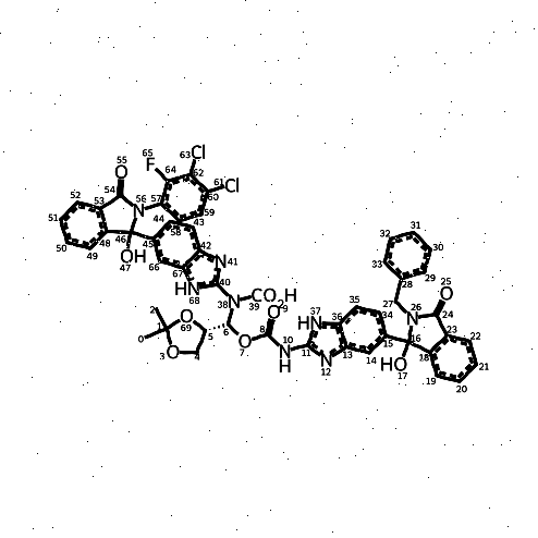 CC1(C)OC[C@@H](C(OC(=O)Nc2nc3cc(C4(O)c5ccccc5C(=O)N4Cc4ccccc4)ccc3[nH]2)N(C(=O)O)c2nc3ccc(C4(O)c5ccccc5C(=O)N4c4ccc(Cl)c(Cl)c4F)cc3[nH]2)O1